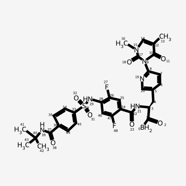 BC(=O)[C@H](Cc1ccc(-n2c(=O)c(C)cn(C)c2=O)nc1)NC(=O)c1cc(F)c(NS(=O)(=O)c2ccc(C(=O)NC(C)(C)C)cc2)cc1F